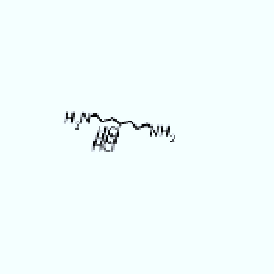 Cl.Cl.Cl.NCCCCCCCN